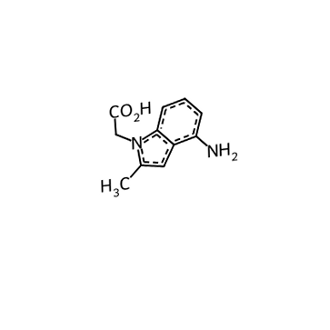 Cc1cc2c(N)cccc2n1CC(=O)O